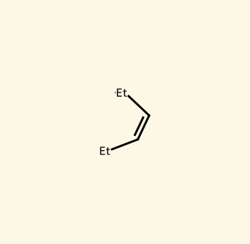 C[CH]/C=C\CC